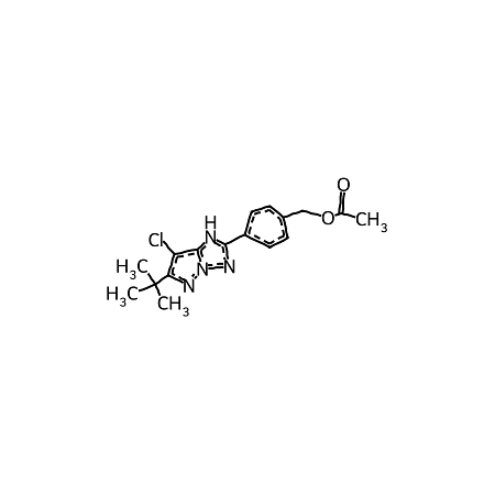 CC(=O)OCc1ccc(-c2nn3nc(C(C)(C)C)c(Cl)c3[nH]2)cc1